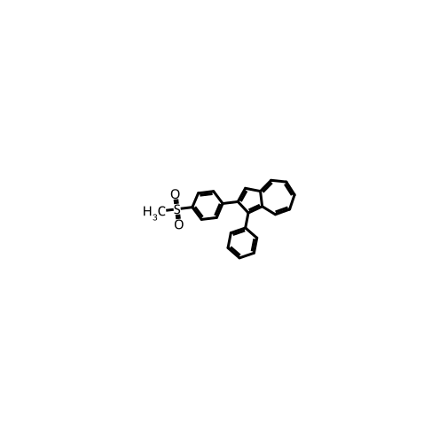 CS(=O)(=O)c1ccc(-c2cc3cccccc-3c2-c2ccccc2)cc1